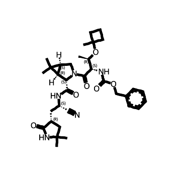 C[C@@H](OC1(C)CCC1)[C@H](NC(=O)OCc1ccccc1)C(=O)N1C[C@H]2[C@@H]([C@H]1C(=O)N[C@H](C#N)C[C@@H]1CC(C)(C)NC1=O)C2(C)C